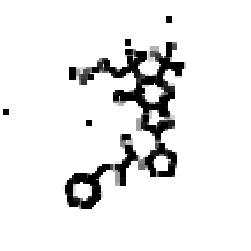 COCC1(n2c(C(F)(F)F)nc3sc(N4CCC[C@@H]4C(=O)NCc4ccccc4)nc3c2=O)CC1